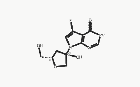 O=c1[nH]cnc2c1c(F)cn2[C@]1(O)CO[C@H](CO)C1